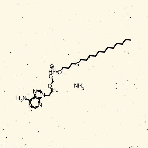 CCCCCCCCCCCCSCCCO[PH](=O)OCO[C@H](C)Cn1cnc2c(N)ncnc21.N